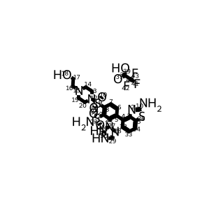 Nc1nc2c(-c3ccc(S(=O)(=O)N4CCN(CCO)CC4)c(S(N)(=O)=O)c3N3N=CNN3)cccc2s1.O=C(O)C(F)(F)F